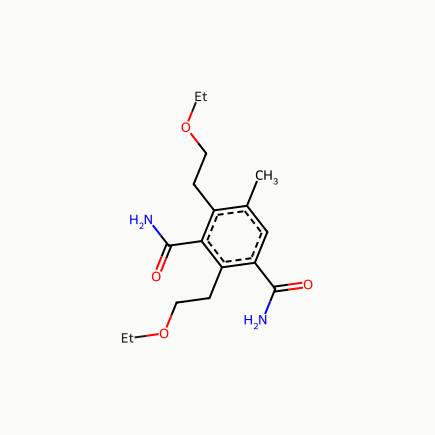 CCOCCc1c(C)cc(C(N)=O)c(CCOCC)c1C(N)=O